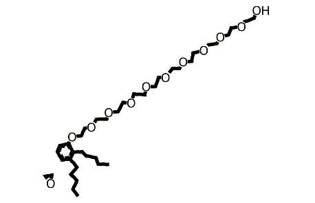 C1CO1.CCCCCc1cccc(OCCOCCOCCOCCOCCOCCOCCOCCOCCOCCO)c1CCCCC